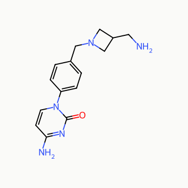 NCC1CN(Cc2ccc(-n3ccc(N)nc3=O)cc2)C1